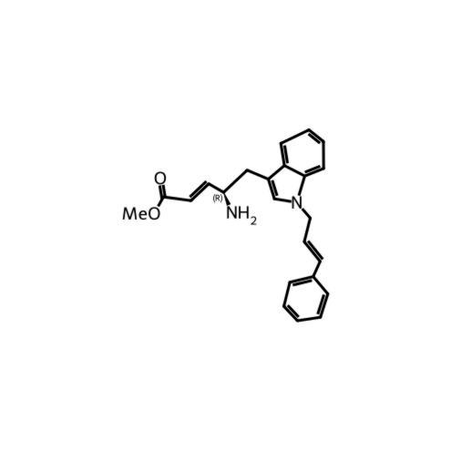 COC(=O)C=C[C@H](N)Cc1cn(CC=Cc2ccccc2)c2ccccc12